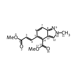 COC(=O)C=Cc1ccc2nn(C)cc2c1C(=O)OC